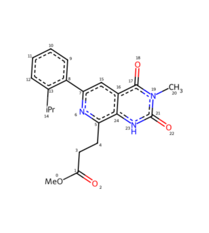 COC(=O)CCc1nc(-c2ccccc2C(C)C)cc2c(=O)n(C)c(=O)[nH]c12